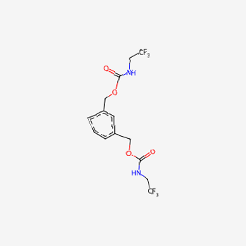 O=C(NCC(F)(F)F)OCc1cccc(COC(=O)NCC(F)(F)F)c1